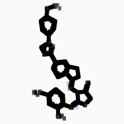 Cc1ccc(/N=C2/SCC(=O)N2/N=C2\CCc3cc(-c4ncn(-c5ccc(OC(F)(F)F)cc5)n4)ccc32)c(C)c1